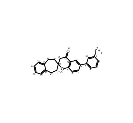 Cc1cccc(-c2ccc3c(c2)C(=O)CC2(CCc4ccccc4CC2)O3)c1